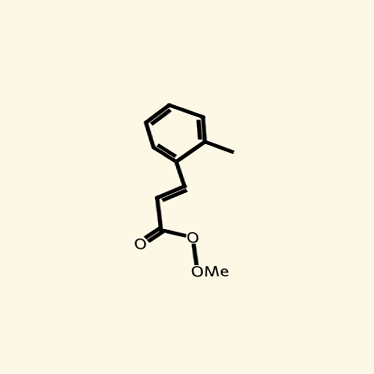 COOC(=O)C=Cc1ccccc1C